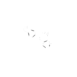 O=CCc1ccc([C@@H]2CNOc3nc(Cl)ccc3C2)cc1